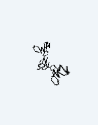 c1ccc(-n2c3cc(-c4ccc5sc6ccc(-c7ccc8c9ncccc9n(-c9ccccc9)c8c7)nc6c5n4)ccc3c3ncccc32)cc1